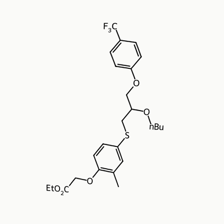 CCCCOC(COc1ccc(C(F)(F)F)cc1)CSc1ccc(OCC(=O)OCC)c(C)c1